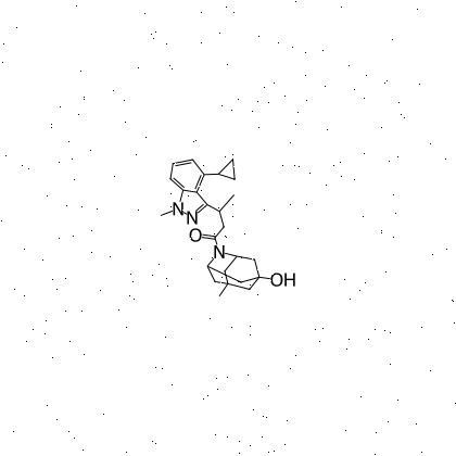 CC(CC(=O)N1C2CC3(C)CC1CC(O)(C2)C3)c1nn(C)c2cccc(C3CC3)c12